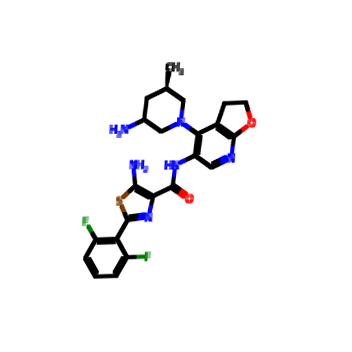 C[C@@H]1CC(N)CN(c2c(NC(=O)c3nc(-c4c(F)cccc4F)sc3N)cnc3c2CCO3)C1